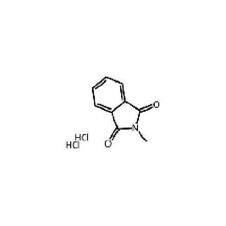 CN1C(=O)c2ccccc2C1=O.Cl.Cl